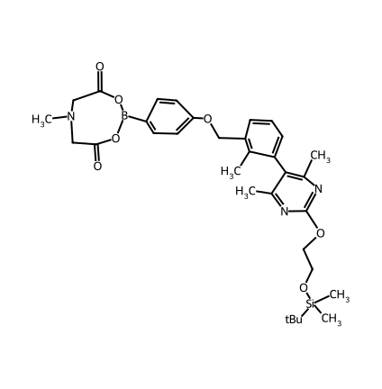 Cc1nc(OCCO[Si](C)(C)C(C)(C)C)nc(C)c1-c1cccc(COc2ccc(B3OC(=O)CN(C)CC(=O)O3)cc2)c1C